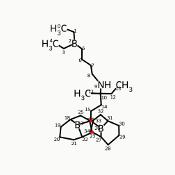 CCB(CC)CCCCNC(C)(CC)CCC(B1C2CCCC1CCC2)B1C2CCCC1CCC2